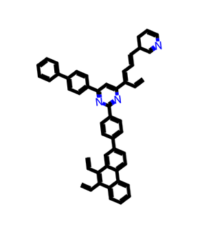 C=C/C(=C\C=C\C1C=NC=CC1)c1cc(-c2ccc(-c3ccccc3)cc2)nc(-c2ccc(-c3ccc4c(c3)c(C=C)c(C=C)c3ccccc34)cc2)n1